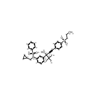 CCCS(=O)(=O)c1ccc(C#CC(O)(c2cccc(N(CC3CC3)S(=O)(=O)c3ccccc3)c2)C(F)(F)F)cc1